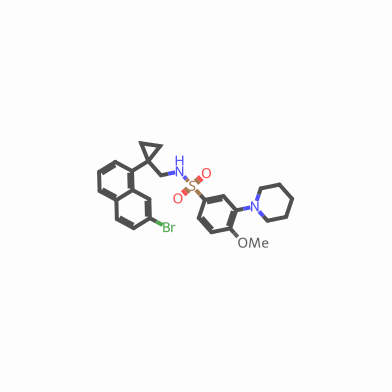 COc1ccc(S(=O)(=O)NCC2(c3cccc4ccc(Br)cc34)CC2)cc1N1CCCCC1